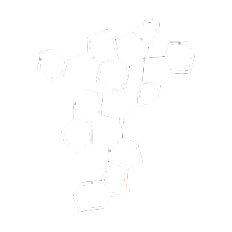 c1ccc(-c2ccc3c4c(cccc24)C2(c4ccccc4-c4ccc(N(c5ccc6oc7ccccc7c6c5)c5cccc6ccccc56)cc42)c2ccccc2-3)cc1